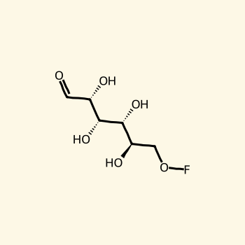 O=C[C@H](O)[C@@H](O)[C@H](O)[C@H](O)COF